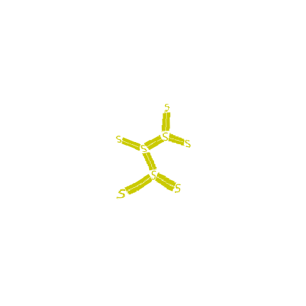 S=S(=S)=S(=S)=S(=S)=S